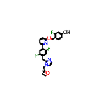 N#Cc1ccc(COc2cccc(-c3cc(F)c(Cc4nccn4C[C@@H]4CCO4)cc3F)n2)c(F)c1